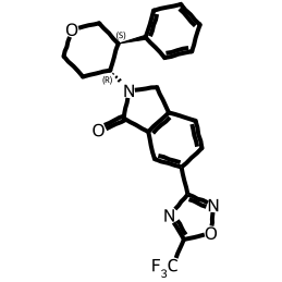 O=C1c2cc(-c3noc(C(F)(F)F)n3)ccc2CN1[C@@H]1CCOC[C@H]1c1ccccc1